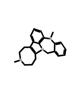 CN1CCCc2c(c3cccc4c3n2Cc2ccccc2N4C)CC1